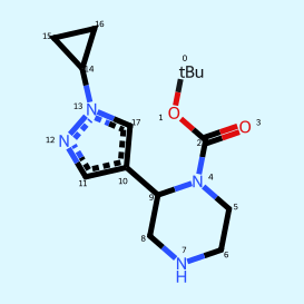 CC(C)(C)OC(=O)N1CCNCC1c1cnn(C2CC2)c1